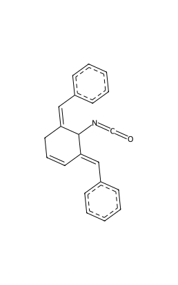 O=C=NC1C(=Cc2ccccc2)C=CCC1=Cc1ccccc1